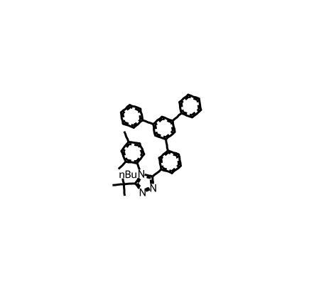 CCCCC(C)(C)c1nnc(-c2cccc(-c3cc(-c4ccccc4)cc(-c4ccccc4)c3)c2)n1-c1ccc(C)cc1C